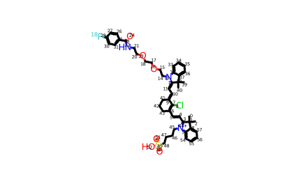 CC1(C)C(/C=C/C2=C(Cl)C(=C/C=C3/N(CCOCCOCCNC(=O)c4ccc([18F])cc4)c4ccccc4C3(C)C)/CCC2)=[N+](CCCCS(=O)(=O)O)c2ccccc21